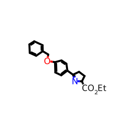 CCOC(=O)C1CCC(c2ccc(OCc3ccccc3)cc2)=N1